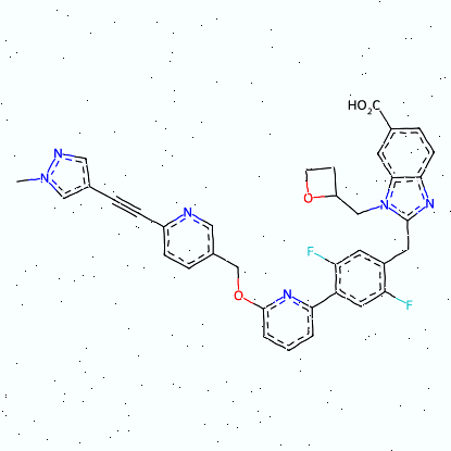 Cn1cc(C#Cc2ccc(COc3cccc(-c4cc(F)c(Cc5nc6ccc(C(=O)O)cc6n5CC5CCO5)cc4F)n3)cn2)cn1